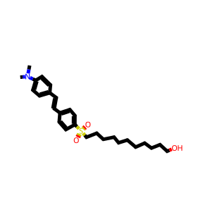 CN(C)c1ccc(C=Cc2ccc(S(=O)(=O)CCCCCCCCCCCO)cc2)cc1